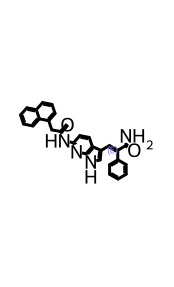 NC(=O)/C(=C/c1c[nH]c2nc(NC(=O)Cc3cccc4ccccc34)ccc12)c1ccccc1